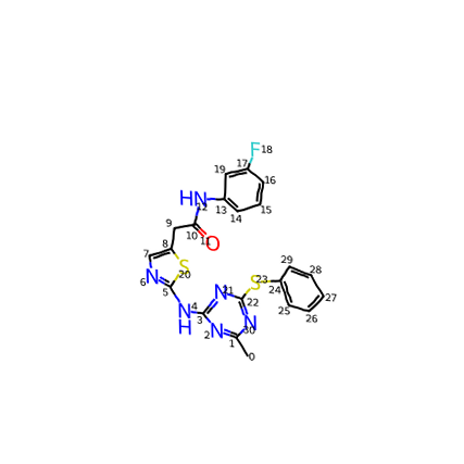 Cc1nc(Nc2ncc(CC(=O)Nc3cccc(F)c3)s2)nc(Sc2ccccc2)n1